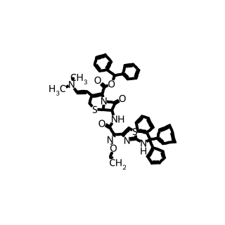 C=CO/N=C(/C(=O)NC1C(=O)N2C(C(=O)OC(c3ccccc3)c3ccccc3)=C(/C=C/N(C)C)CSC12)c1csc(NC(c2ccccc2)(c2ccccc2)c2ccccc2)n1